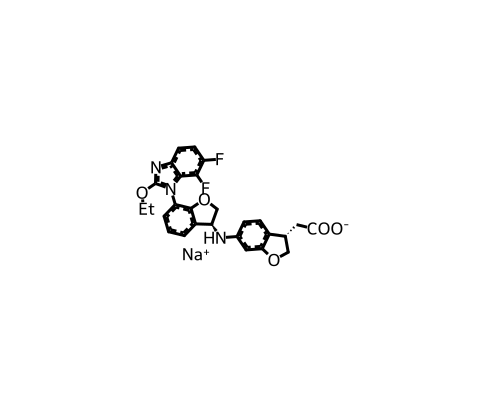 CCOc1nc2ccc(F)c(F)c2n1-c1cccc2c1OC[C@H]2Nc1ccc2c(c1)OC[C@H]2CC(=O)[O-].[Na+]